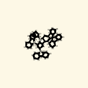 C1=C2C(=CC3c4cc(-n5c6ccccc6c6ccccc65)cc(-n5c6ccccc6c6ccccc65)c4N(c4ccccc4)C13)C1(c3ccccc32)c2ccccc2-c2ccccc21